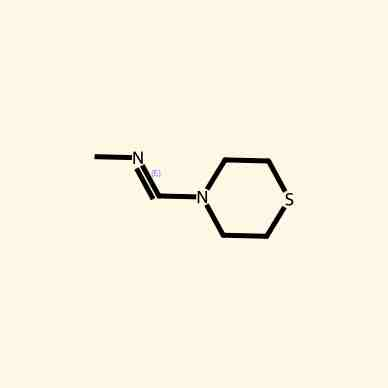 C/N=C/N1CCSCC1